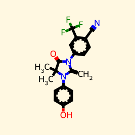 C=C1N(c2ccc(C#N)c(C(F)(F)F)c2)C(=O)C(C)(C)N1c1ccc(O)cc1